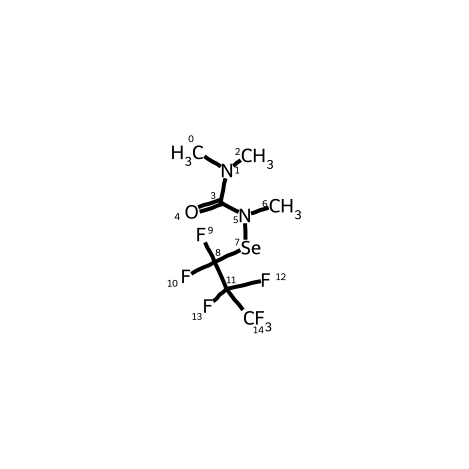 CN(C)C(=O)N(C)[Se]C(F)(F)C(F)(F)C(F)(F)F